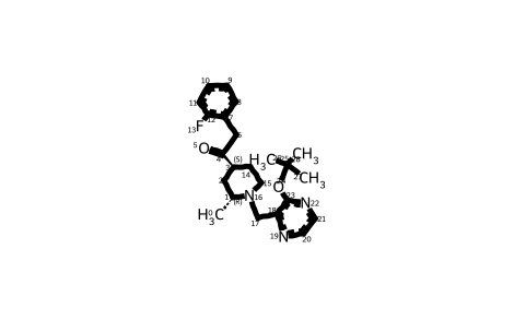 C[C@@H]1C[C@@H](C(=O)Cc2ccccc2F)CCN1Cc1nccnc1OC(C)(C)C